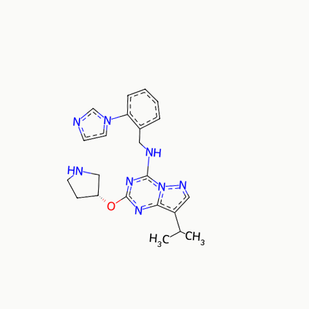 CC(C)c1cnn2c(NCc3ccccc3-n3ccnc3)nc(O[C@@H]3CCNC3)nc12